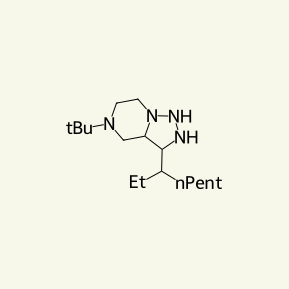 CCCCCC(CC)C1NNN2CCN(C(C)(C)C)CC12